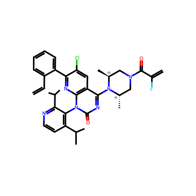 C=Cc1ccccc1-c1nc2c(cc1Cl)c(N1[C@@H](C)CN(C(=O)C(=C)F)C[C@@H]1C)nc(=O)n2-c1c(C(C)C)ccnc1C(C)C